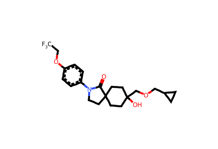 O=C1N(c2ccc(OCC(F)(F)F)cc2)CCC12CCC(O)(COCC1CC1)CC2